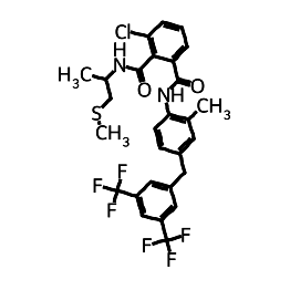 CSCC(C)NC(=O)c1c(Cl)cccc1C(=O)Nc1ccc(Cc2cc(C(F)(F)F)cc(C(F)(F)F)c2)cc1C